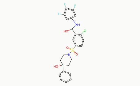 O=S(=O)(c1ccc(Cl)c(C(O)Nc2cc(F)c(F)c(F)c2)c1)N1CCC(O)(c2ccccc2)CC1